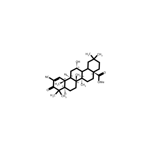 COC(=O)[C@]12CCC(C)(C)CC1C1[C@@H](O)C[C@@H]3[C@@]4(C)C=C(C#N)C(=O)C(C)(C)[C@@H]4CC[C@@]3(C)[C@]1(C)CC2